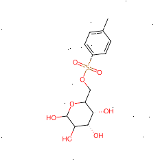 Cc1ccc(S(=O)(=O)OCC2OC(O)C(O)[C@@H](O)[C@H]2O)cc1